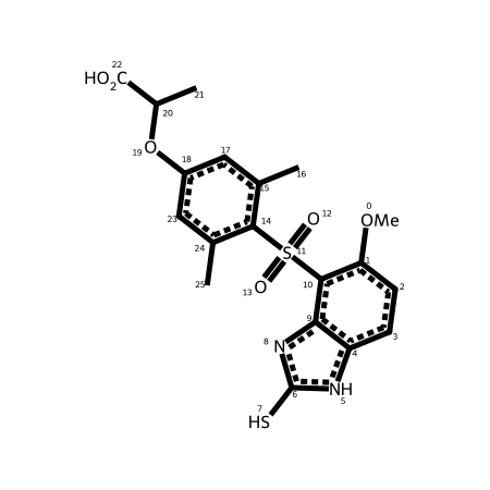 COc1ccc2[nH]c(S)nc2c1S(=O)(=O)c1c(C)cc(OC(C)C(=O)O)cc1C